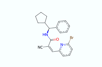 N#CC(=Cc1cccc(Br)n1)C(=O)N[C@H](c1ccccc1)C1CCCC1